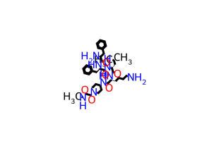 CNC(=O)C(=O)N1CCC(NC(=O)[C@@H](CCCCN)NC(=O)[C@@H](CC(C)C)NC(=O)[C@@H](Cc2ccccc2)NC(=O)[C@H](N)Cc2ccccc2)CC1